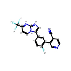 N#Cc1ccncc1-c1cc(-c2cnc3nc(C(F)(F)F)ccn23)ccc1F